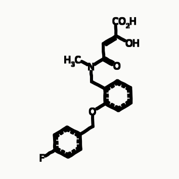 CN(Cc1ccccc1OCc1ccc(F)cc1)C(=O)C=C(O)C(=O)O